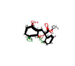 COC(=O)[C@@](O)(Cc1c(O)ccc(Cl)c1Br)c1ccccc1F